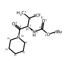 CC([C@@H](NC(=O)OC(C)(C)C)C(=O)N1CCCCC1)C(F)(F)F